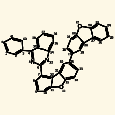 c1ccc(-c2nc(-c3cccc4oc5ccc(-c6ccc7oc8ccccc8c7c6)cc5c34)nc3ccccc23)cc1